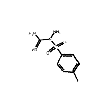 Cc1ccc(S(=O)(=O)N(N)C(=N)N)cc1